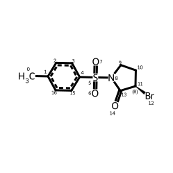 Cc1ccc(S(=O)(=O)N2CC[C@@H](Br)C2=O)cc1